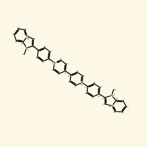 Cn1c(-c2ccc(-[n+]3ccc(-c4cc[n+](-c5ccc(-c6c[n+]7ccccc7n6C)cc5)cc4)cc3)cc2)c[n+]2ccccc12